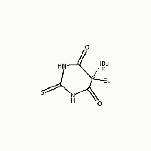 CC[C@@H](C)C1(CC)C(=O)NC(=S)NC1=O